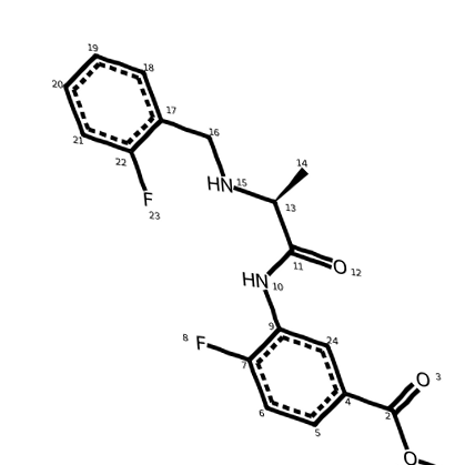 COC(=O)c1ccc(F)c(NC(=O)[C@H](C)NCc2ccccc2F)c1